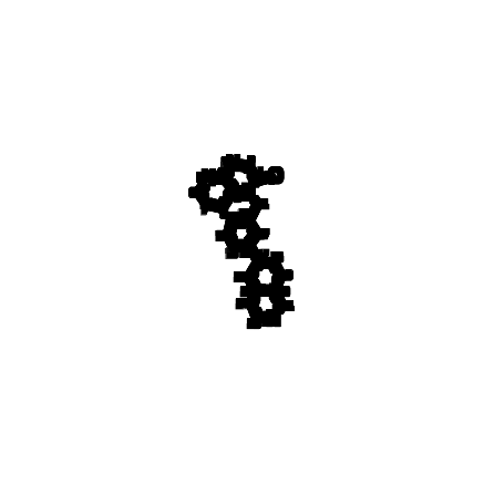 O=c1cnc2ncccc2n1Cc1cccc(-c2ccc3cnccc3c2)c1